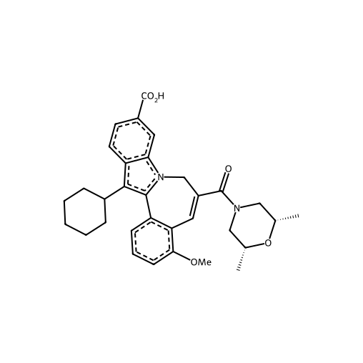 COc1cccc2c1C=C(C(=O)N1C[C@@H](C)O[C@@H](C)C1)Cn1c-2c(C2CCCCC2)c2ccc(C(=O)O)cc21